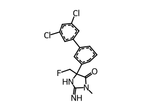 CN1C(=N)NC(CF)(c2cccc(-c3cc(Cl)cc(Cl)c3)c2)C1=O